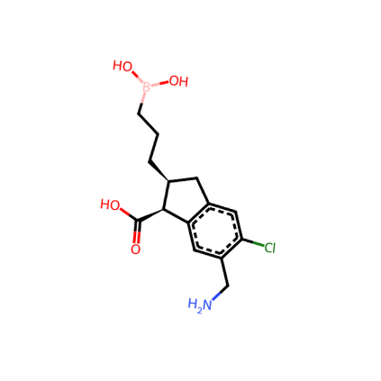 NCc1cc2c(cc1Cl)C[C@H](CCCB(O)O)[C@@H]2C(=O)O